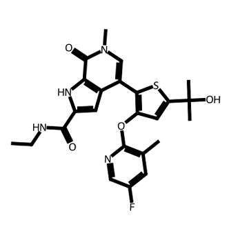 CCNC(=O)c1cc2c(-c3sc(C(C)(C)O)cc3Oc3ncc(F)cc3C)cn(C)c(=O)c2[nH]1